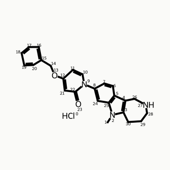 Cl.Cn1c2c(c3ccc(-n4ccc(OCc5ccccc5)cc4=O)cc31)CNCCC2